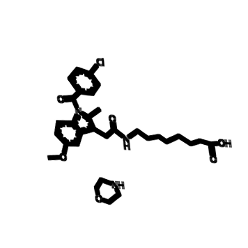 C1COCCN1.COc1ccc2c(c1)c(CC(=O)NCCCCCCCC(=O)O)c(C)n2C(=O)c1ccc(Cl)cc1